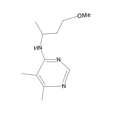 COCCC(C)Nc1ncnc(C)c1C